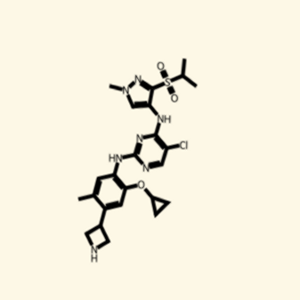 Cc1cc(Nc2ncc(Cl)c(Nc3cn(C)nc3S(=O)(=O)C(C)C)n2)c(OC2CC2)cc1C1CNC1